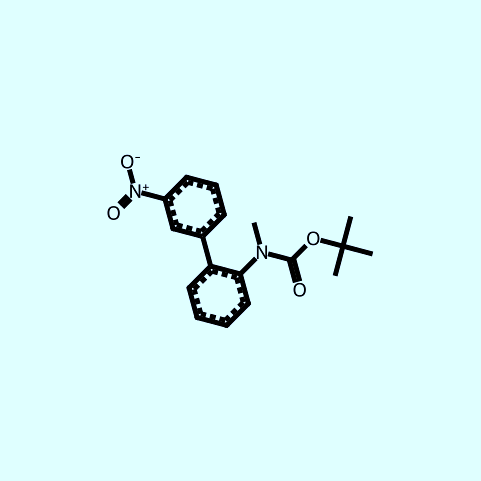 CN(C(=O)OC(C)(C)C)c1ccccc1-c1cccc([N+](=O)[O-])c1